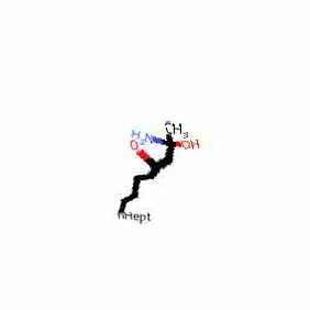 CCCCCCCCCCCC(=O)CC(C)(N)O